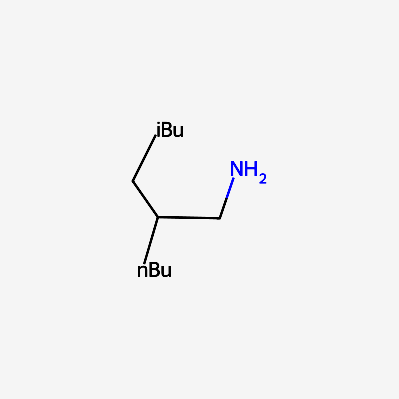 CCCCC(CN)CC(C)CC